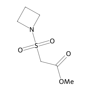 COC(=O)CS(=O)(=O)N1CCC1